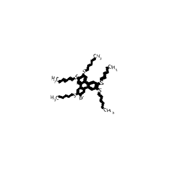 CCCCCCSc1cc2c(cc1Br)c1cc(SCCCCCC)c(SCCCCCC)cc1c1cc(SCCCCCC)c(SCCCCCC)cc21